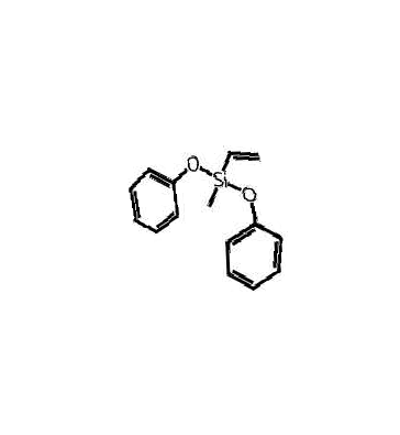 C=C[Si](C)(Oc1ccccc1)Oc1ccccc1